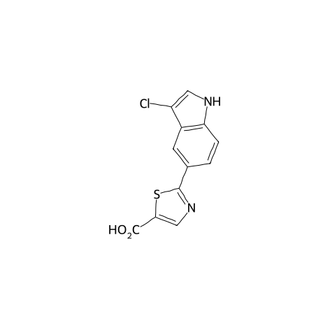 O=C(O)c1cnc(-c2ccc3[nH]cc(Cl)c3c2)s1